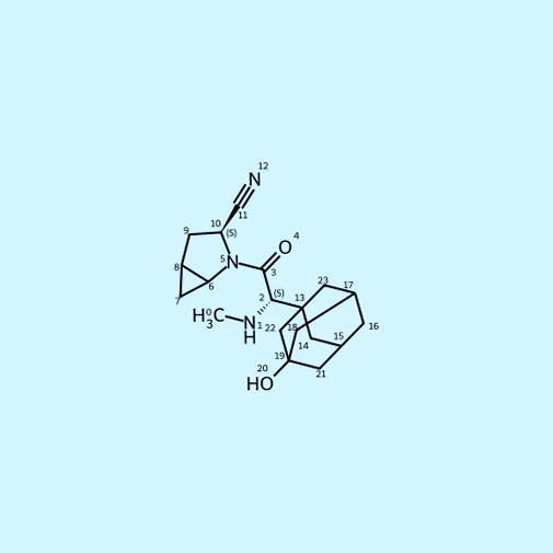 CN[C@H](C(=O)N1C2CC2C[C@H]1C#N)C12CC3CC(CC(O)(C3)C1)C2